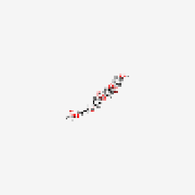 C=CC(=O)OCCCCCOc1ccc(C(=O)OC2=CC=C(OC(=O)c3ccc(OC)cc3)CC2)cc1